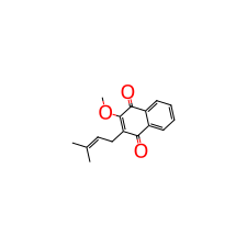 COC1=C(CC=C(C)C)C(=O)c2ccccc2C1=O